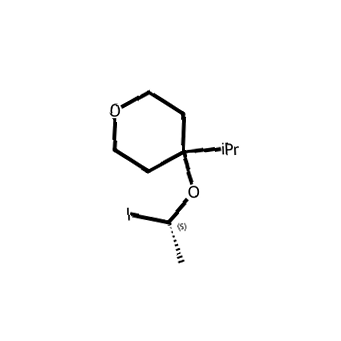 CC(C)C1(O[C@H](C)I)CCOCC1